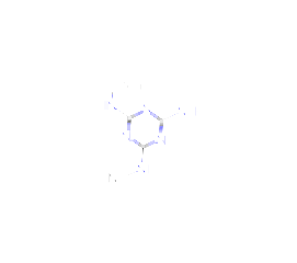 CCCCCNc1nc([NH])nc(NC#N)n1